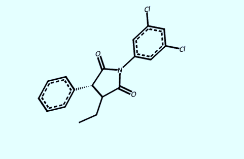 CCC1C(=O)N(c2cc(Cl)cc(Cl)c2)C(=O)[C@H]1c1ccccc1